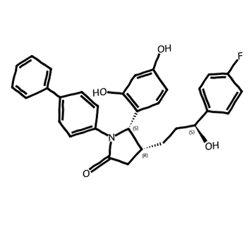 O=C1C[C@@H](CC[C@H](O)c2ccc(F)cc2)[C@@H](c2ccc(O)cc2O)N1c1ccc(-c2ccccc2)cc1